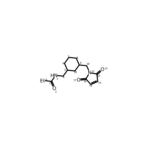 CCC(=O)NCC1CCCC(CN2C(=O)C=CC2=O)C1